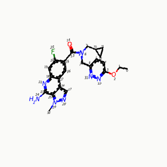 CCOc1ccc(CN(CC2CC2)C(=O)c2cc3c(cc2F)nc(N)c2c3cnn2C)nn1